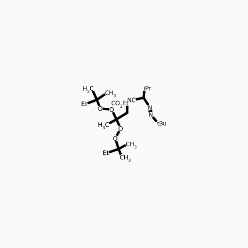 CC(C)C(C#N)N=NC(C)(C)C.CCOC(=O)CC(C)(OOC(C)(C)CC)OOC(C)(C)CC